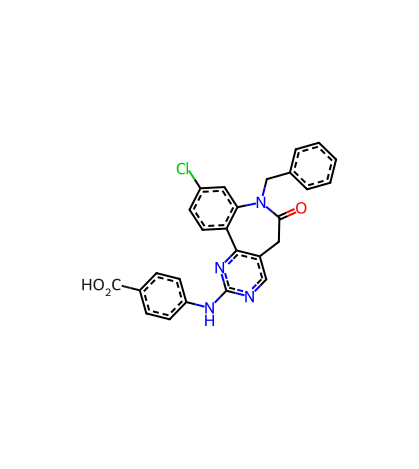 O=C(O)c1ccc(Nc2ncc3c(n2)-c2ccc(Cl)cc2N(Cc2ccccc2)C(=O)C3)cc1